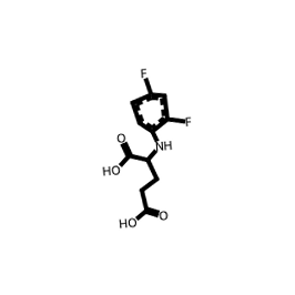 O=C(O)CCC(Nc1ccc(F)cc1F)C(=O)O